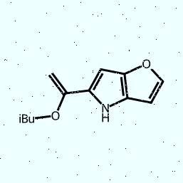 C=C(OC(C)CC)c1cc2occc2[nH]1